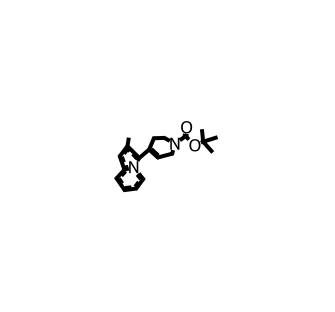 Cc1cc2ccccn2c1C1=CCN(C(=O)OC(C)(C)C)CC1